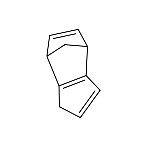 C1=CC2=C(C1)C1C=CC2C1